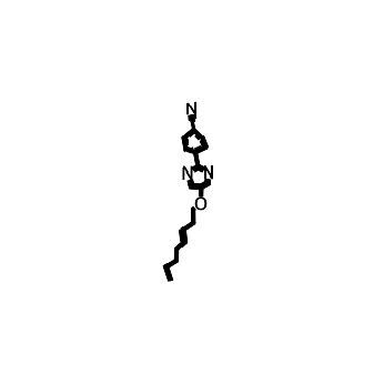 CCCCC=CCCOc1cnc(-c2ccc(C#N)cc2)nc1